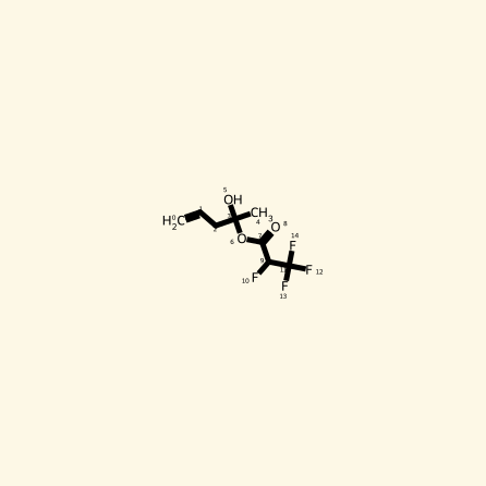 C=CCC(C)(O)OC(=O)C(F)C(F)(F)F